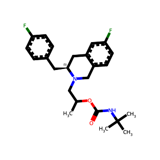 CC(CN1Cc2ccc(F)cc2C[C@@H]1Cc1ccc(F)cc1)OC(=O)NC(C)(C)C